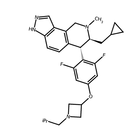 CC(C)CN1CC(Oc2cc(F)c([C@@H]3c4ccc5[nH]ncc5c4CN(C)[C@H]3CC3CC3)c(F)c2)C1